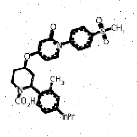 CCCc1ccc(C2CC(Oc3ccn(-c4ccc(S(C)(=O)=O)cc4)c(=O)c3)CCN2C(=O)O)c(C)c1